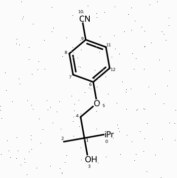 CC(C)C(C)(O)COc1ccc(C#N)cc1